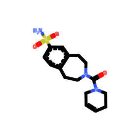 NS(=O)(=O)c1ccc2c(c1)CCN(C(=O)N1CC=CCC1)CC2